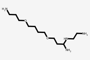 NCCCOCCCCOCCC(N)NCCN